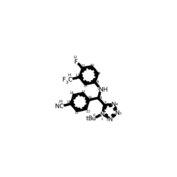 CC(C)(C)n1nnnc1C(Nc1ccc(F)c(C(F)(F)F)c1)c1ccc(C#N)cc1